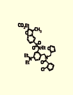 CCOC(=O)c1oc2ccc(S(=O)(=O)N(CC)c3cc(N(CC)CC)ccc3CN(Cc3ccco3)C(=O)c3ccccc3Cl)cc2c1C